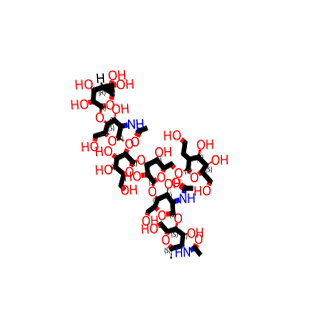 CC(=O)NC1[C@H](OC2C(O)[C@H](O)C(CO)O[C@@H]2O[C@@H]2C(O)[C@H](O[C@@H]3C(CO)O[C@@H](O[C@@H]4C(CO)O[C@@H](C)C(NC(C)=O)[C@H]4O)C(NC(C)=O)[C@H]3O)OC(CO[C@H]3OC(CO)[C@@H](O)[C@H](O)C3CCO)[C@H]2O)OC(CO)[C@@H](O[C@@H]2OC3[C@@H]([C@H](O)C2O)C3(O)O)[C@@H]1O